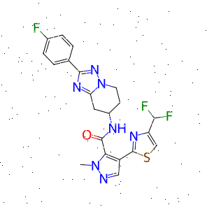 Cn1ncc(-c2nc(C(F)F)cs2)c1C(=O)NC1CCn2nc(-c3ccc(F)cc3)nc2C1